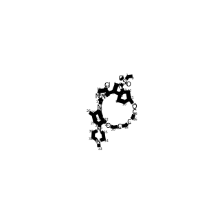 CCS(=O)(=O)n1cc2c3ccc(cc31)OCCCCCCOc1cc(c(C)cc1N1CCN(C)CC1)Nc1ncc(Cl)c-2n1